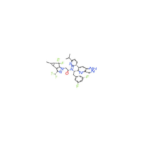 CC(C)c1ccc(-c2cc3[nH]ncc3nc2C(Cc2cc(F)cc(F)c2)NC(=O)Cn2nc(C(F)F)c3c2C(F)(F)C2C3[C@H]2C)cn1